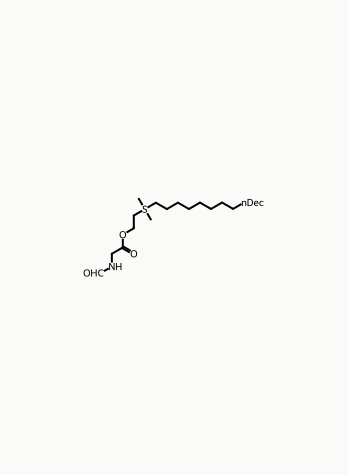 CCCCCCCCCCCCCCCCCCS(C)(C)CCOC(=O)CNC=O